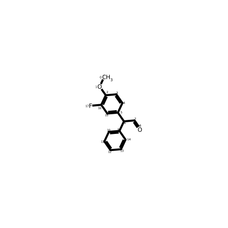 COc1ccc(C(C=O)c2ccccc2)cc1F